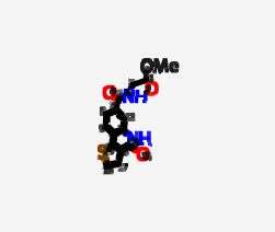 COC(=O)CNC(=O)c1ccc2c(c1)[nH]c(=O)c1ccsc12